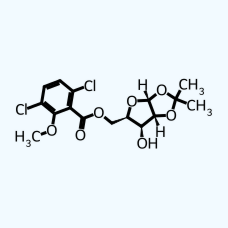 COc1c(Cl)ccc(Cl)c1C(=O)OC[C@H]1O[C@@H]2OC(C)(C)O[C@@H]2[C@H]1O